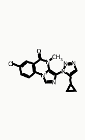 CN1C(=O)c2cc(Cl)ccc2[N+]2C=NC(n3nncc3C3CC3)=C12